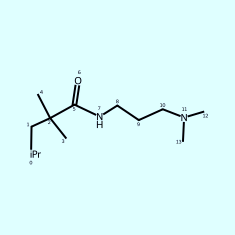 CC(C)CC(C)(C)C(=O)NCCCN(C)C